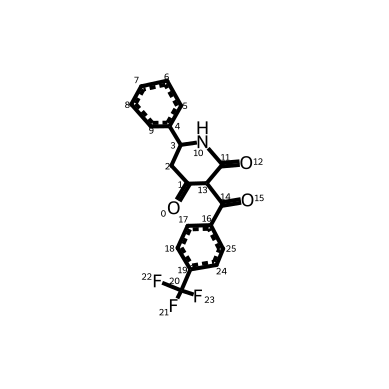 O=C1CC(c2ccccc2)NC(=O)C1C(=O)c1ccc(C(F)(F)F)cc1